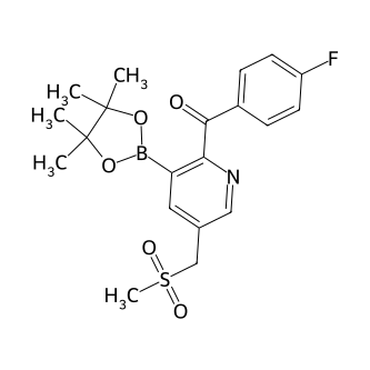 CC1(C)OB(c2cc(CS(C)(=O)=O)cnc2C(=O)c2ccc(F)cc2)OC1(C)C